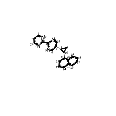 c1cnc(-c2ncc([C@@H]3C[C@H]3c3cccc4ccccc34)cn2)nc1